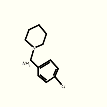 Clc1ccc(CN2CCCCC2)cc1.N